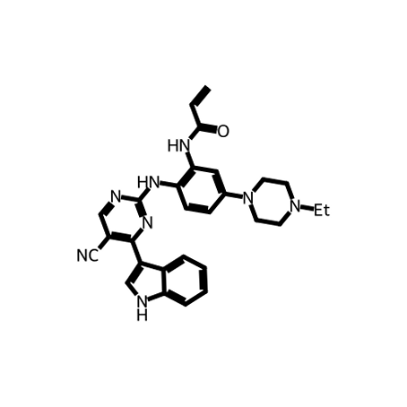 C=CC(=O)Nc1cc(N2CCN(CC)CC2)ccc1Nc1ncc(C#N)c(-c2c[nH]c3ccccc23)n1